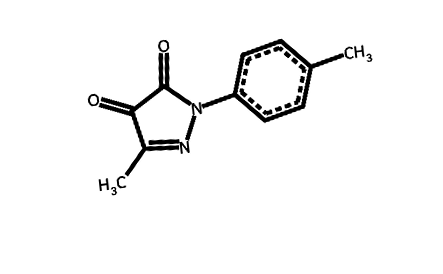 CC1=NN(c2ccc(C)cc2)C(=O)C1=O